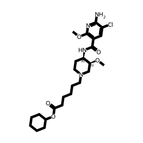 COc1nc(N)c(Cl)cc1C(=O)N[C@@H]1CCN(CCCCCC(=O)OC2CCCCC2)C[C@@H]1OC